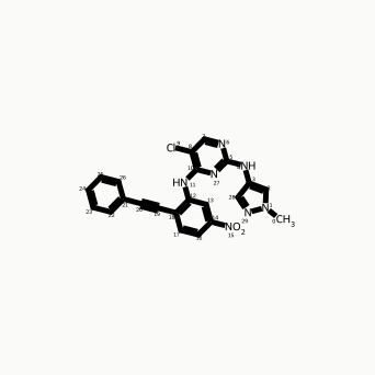 Cn1cc(Nc2ncc(Cl)c(Nc3cc([N+](=O)[O-])ccc3C#Cc3ccccc3)n2)cn1